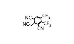 N#CCc1c(C#N)cc(C(F)(F)F)c(C(F)(F)F)c1C#N